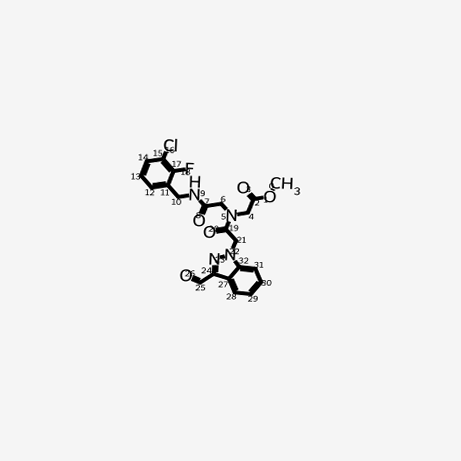 COC(=O)CN(CC(=O)NCc1cccc(Cl)c1F)C(=O)Cn1nc(C=O)c2ccccc21